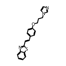 C(=Cc1nc2ccccc2s1)c1ccc(OCCCn2ccnc2)cc1